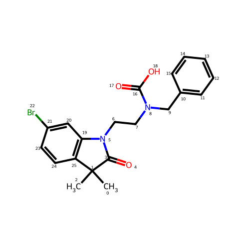 CC1(C)C(=O)N(CCN(Cc2ccccc2)C(=O)O)c2cc(Br)ccc21